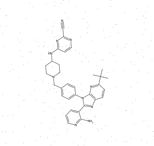 CC(C)(C)c1ccc2nc(-c3cccnc3N)n(-c3ccc(CN4CCC(Nc5ccnc(C#N)n5)CC4)cc3)c2n1